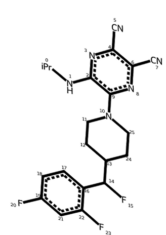 CC(C)Nc1nc(C#N)c(C#N)nc1N1CCC(C(F)c2ccc(F)cc2F)CC1